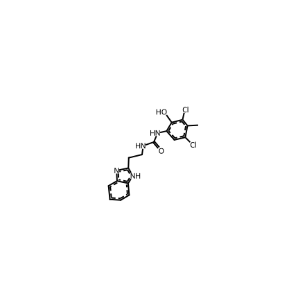 Cc1c(Cl)cc(NC(=O)NCCc2nc3ccccc3[nH]2)c(O)c1Cl